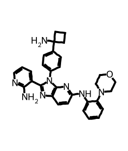 Nc1ncccc1-c1nc2ccc(Nc3ccccc3N3CCOCC3)nc2n1-c1ccc(C2(N)CCC2)cc1